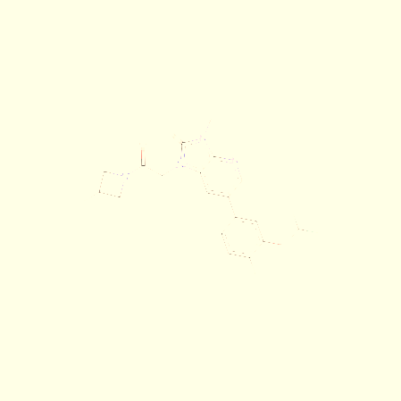 Cn1c(=O)n(CC(=O)N2CC(F)C2)c2cc(-c3ccc(F)c(OC(F)F)c3)cnc21